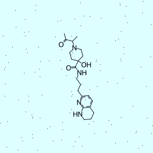 CC(=O)C(C)N1CCC(O)(C(=O)NCCCc2ccc3c(n2)NCCC3)CC1